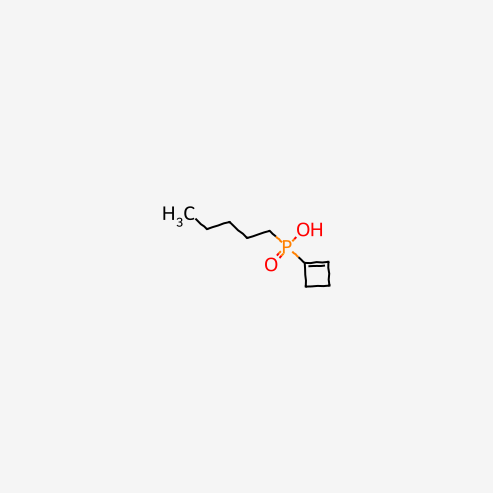 CCCCCP(=O)(O)C1=CCC1